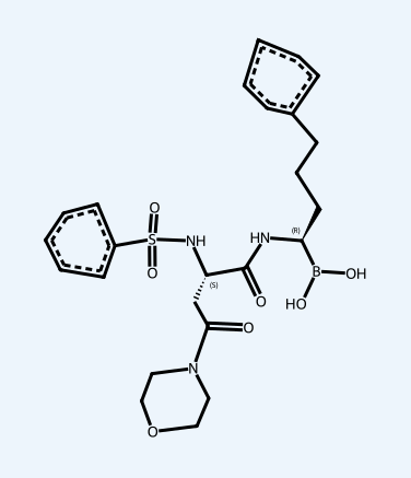 O=C(N[C@@H](CCCc1ccccc1)B(O)O)[C@H](CC(=O)N1CCOCC1)NS(=O)(=O)c1ccccc1